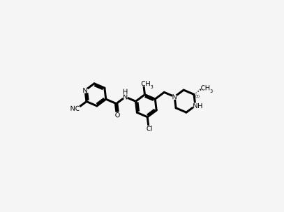 Cc1c(CN2CCN[C@@H](C)C2)cc(Cl)cc1NC(=O)c1ccnc(C#N)c1